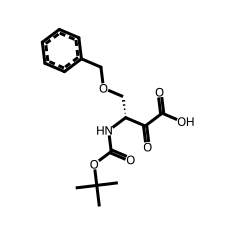 CC(C)(C)OC(=O)N[C@H](COCc1ccccc1)C(=O)C(=O)O